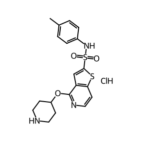 Cc1ccc(NS(=O)(=O)c2cc3c(OC4CCNCC4)nccc3s2)cc1.Cl